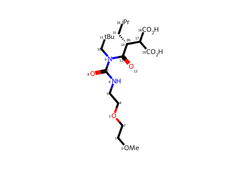 COCCOCCNC(=O)N(CC(C)(C)C)C(=O)[C@H](CC(C)C)C(C(=O)O)C(=O)O